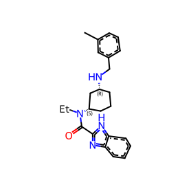 CCN(C(=O)c1nc2ccccc2[nH]1)[C@H]1CCC[C@@H](NCc2cccc(C)c2)C1